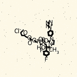 C[C@@H](N1CCN(c2ccc(-n3cnnn3)cc2)C1=O)[C@@](O)(CN1CN(COC(=O)OCC2CCCO2)[C+]=N1)c1ccc(F)cc1F.[Cl-]